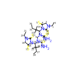 CCN1CC(=S)N(C(N(CN(C(N)=S)C(N2C(=S)CN(CC)C2=S)C(C)(C)CC)C(N)=S)C(C)(C)CC)C1=S